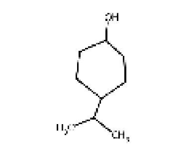 C[C](C)C1CCC(O)CC1